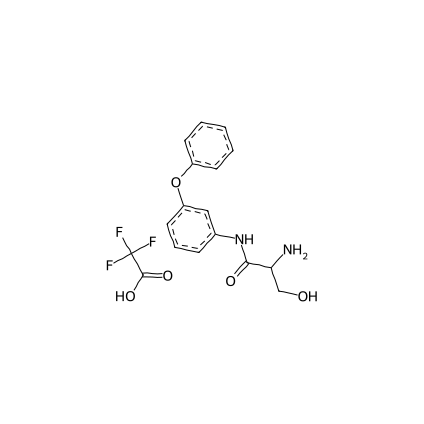 NC(CO)C(=O)Nc1cccc(Oc2ccccc2)c1.O=C(O)C(F)(F)F